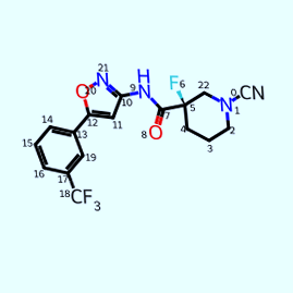 N#CN1CCC[C@](F)(C(=O)Nc2cc(-c3cccc(C(F)(F)F)c3)on2)C1